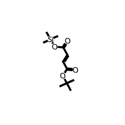 CC(C)(C)OC(=O)/C=C/C(=O)O[Si](C)(C)C